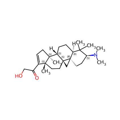 CN(C)[C@H]1CC[C@]23C[C@]24CC[C@]2(C)C(C(=O)CO)=CC[C@@]2(C)[C@@H]4CC[C@H]3C1(C)C